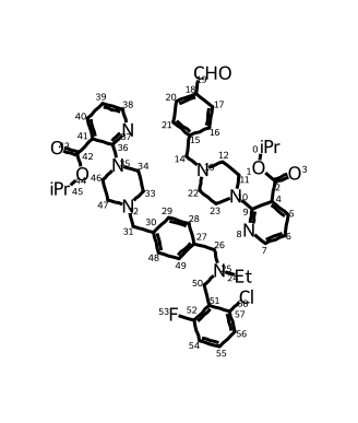 CC(C)OC(=O)c1cccnc1N1CCN(Cc2ccc(C=O)cc2)CC1.CCN(Cc1ccc(CN2CCN(c3ncccc3C(=O)OC(C)C)CC2)cc1)Cc1c(F)cccc1Cl